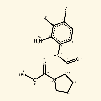 Cc1c(Cl)ccc(NC(=O)[C@@H]2CCCN2C(=O)OC(C)(C)C)c1N